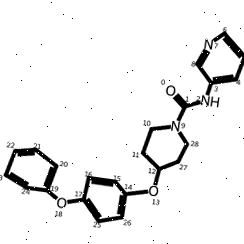 O=C(Nc1cccnc1)N1CCC(Oc2ccc(Oc3ccccc3)cc2)CC1